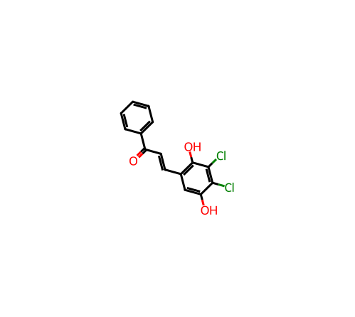 O=C(C=Cc1cc(O)c(Cl)c(Cl)c1O)c1ccccc1